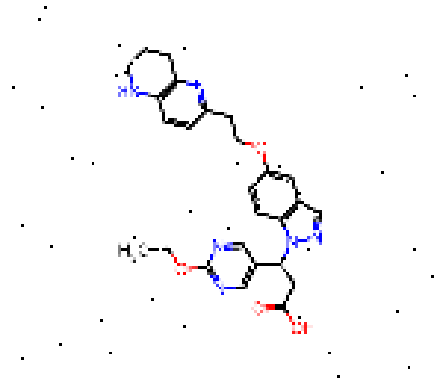 CCOc1ncc([C@H](CC(=O)O)n2ncc3cc(OCCc4ccc5c(n4)CCCN5)ccc32)cn1